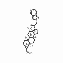 COC1C2[C@@H]3CC[C@@H]4[C@H](CC[C@]5(C)[C@@H](C(=O)Cn6nc7ccncc7n6)CC[C@@H]45)[C@H]3CC[C@]12O